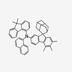 Cc1cc2c(c(C)c1C)-c1ccc(N(c3cccc4c3-c3ccccc3C4(C)C)c3cccc4ccccc34)cc1C21C2CC3CC(C2)CC1C3